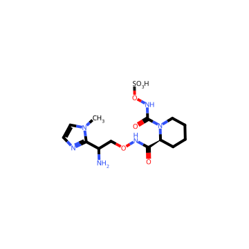 Cn1ccnc1C(N)CONC(=O)[C@@H]1CCCCN1C(=O)NOS(=O)(=O)O